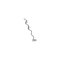 C/C=C/C=C/CCCO